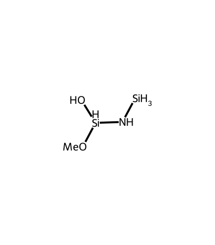 CO[SiH](O)N[SiH3]